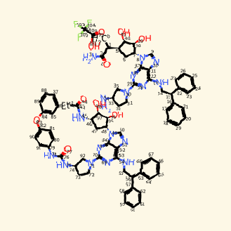 CC(C(N)=O)[C@@H]1C[C@@H](n2cnc3c(NCC(c4ccccc4)c4ccccc4)nc(N4CC[C@@H](N)C4)nc32)[C@H](O)[C@@H]1O.CCC(=O)N[C@H]1C[C@@H](n2cnc3c(NCC(c4ccccc4)c4ccccc4)nc(N4CC[C@@H](NC(=O)Nc5ccc(Oc6ccccc6)cc5)C4)nc32)[C@H](O)[C@@H]1O.O=C(O)C(F)(F)F